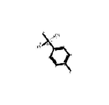 Cc1ccc([C@@](C)(C#N)C(C)C)cc1